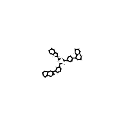 c1ccc2cc3c(cc2c1)oc1ccc(-c2nc(-c4ccc(-c5cccc6ccccc56)cc4)nc(-c4cc5ccccc5o4)n2)cc13